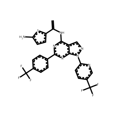 C=C(Nc1nc(-c2ccc(C(F)(F)F)cc2)nc2c1cnn2-c1ccc(C(F)(F)F)cn1)c1ccc(N)s1